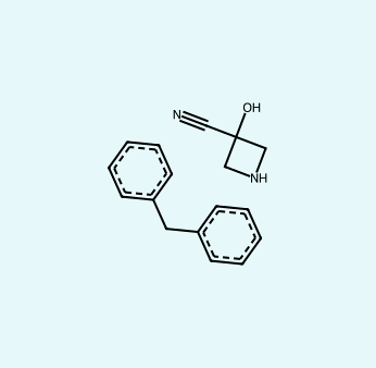 N#CC1(O)CNC1.c1ccc(Cc2ccccc2)cc1